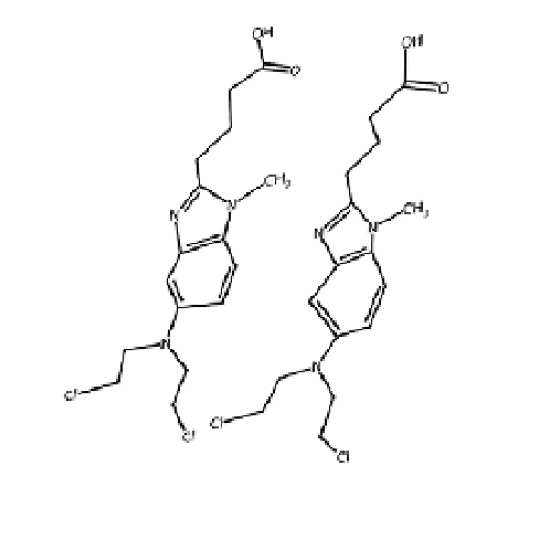 Cn1c(CCCC(=O)O)nc2cc(N(CCCl)CCCl)ccc21.Cn1c(CCCC(=O)O)nc2cc(N(CCCl)CCCl)ccc21